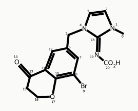 Cn1ccn(Cc2cc(Br)c3c(c2)C(=O)CCO3)c1=NC(=O)O